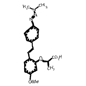 COc1ccc(C=Cc2ccc(N=NN(C)C)cc2)c(OC(C)C(=O)O)c1